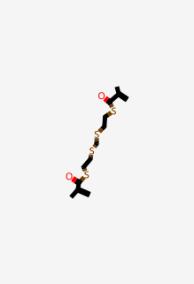 C=C(C)C(=O)SCCSCSCCSC(=O)C(=C)C